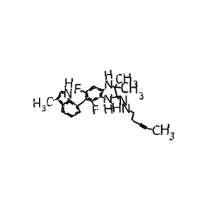 CC#CCCNN=C1Nc2c(cc(F)c(-c3cccc4c(C)c[nH]c34)c2F)NC1(C)C